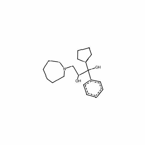 OC(CN1CCCCCC1)C(O)(c1ccccc1)C1CCCC1